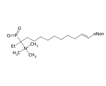 CCCCCCCCCC=CCCCCCCCCC(CC)(P(=O)=O)[N+](C)(C)C